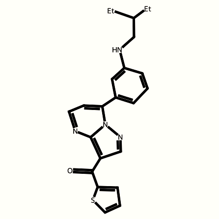 CCC(CC)CNc1cccc(-c2ccnc3c(C(=O)c4cccs4)cnn23)c1